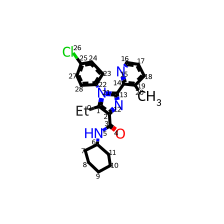 CCc1c(C(=O)NC2CCCCC2)nc(-c2ncccc2C)n1-c1ccc(Cl)cc1